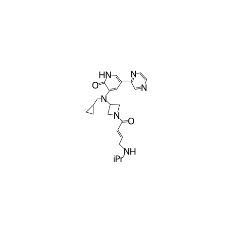 CC(C)NC/C=C/C(=O)N1CC(N(CC2CC2)c2cc(-c3cnccn3)c[nH]c2=O)C1